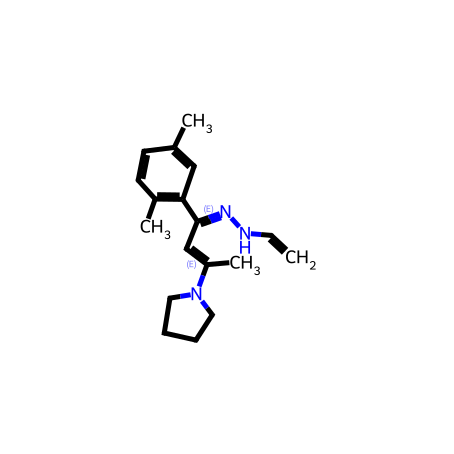 C=CN/N=C(\C=C(/C)N1CCCC1)c1cc(C)ccc1C